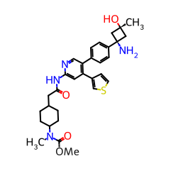 COC(=O)N(C)C1CCC(CC(=O)Nc2cc(-c3ccsc3)c(-c3ccc([C@]4(N)C[C@](C)(O)C4)cc3)cn2)CC1